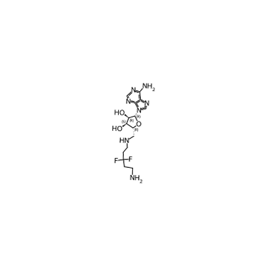 NCCC(F)(F)CCNC[C@H]1O[C@@H](n2cnc3c(N)ncnc32)[C@H](O)[C@@H]1O